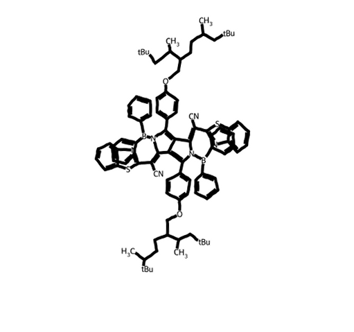 CC(CCC(COc1ccc(-c2c3/c(=C(\C#N)c4nc5ccccc5s4)n(B(c4ccccc4)c4ccccc4)c(-c4ccc(OCC(CCC(C)C(C)(C)C)C(C)CC(C)(C)C)cc4)c3/c(=C(\C#N)c3nc4ccccc4s3)n2B(c2ccccc2)c2ccccc2)cc1)C(C)CC(C)(C)C)CC(C)(C)C